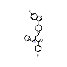 O=C(/C(=C/N1CCCC1)CCN1CCC(c2csc3cc(F)ccc23)CC1)c1ccc(F)cc1